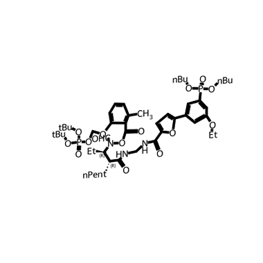 CCCCC[C@@H](C(=O)NCNC(=O)c1ccc(-c2cc(OCC)cc(P(=O)(OCCCC)OCCCC)c2)o1)[C@@H](CC)N(C=O)OC(=O)c1c(C)cccc1OCOP(=O)(OC(C)(C)C)OC(C)(C)C